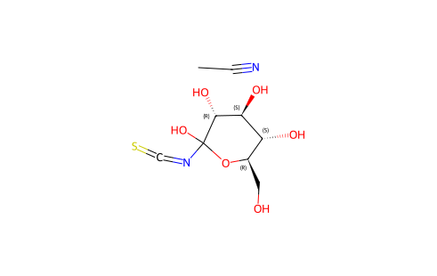 CC#N.OC[C@H]1OC(O)(N=C=S)[C@H](O)[C@@H](O)[C@@H]1O